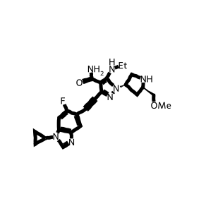 CCNc1c(C(N)=O)c(C#Cc2cc3ncn(C4CC4)c3cc2F)nn1[C@@H]1CN[C@@H](COC)C1